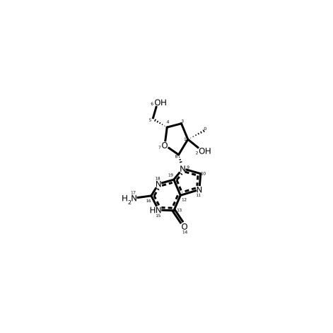 C[C@@]1(O)C[C@@H](CO)O[C@H]1n1cnc2c(=O)[nH]c(N)nc21